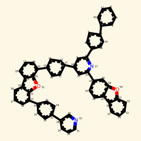 c1ccc(-c2ccc(-c3cc(-c4ccc(-c5cccc6c5oc5c(-c7ccc(-c8cccnc8)cc7)cccc56)cc4)cc(-c4ccc5c(c4)oc4ccccc45)n3)cc2)cc1